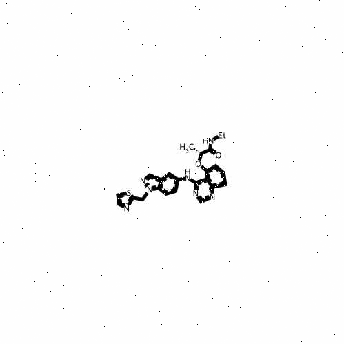 CCNC(=O)[C@@H](C)Oc1cccc2ncnc(Nc3ccc4c(cnn4Cc4nccs4)c3)c12